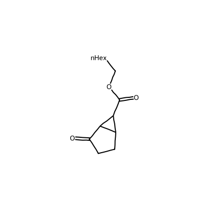 CCCCCCCOC(=O)C1C2CCC(=O)C21